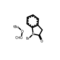 CC(C)(C)OC=O.O=C1Cc2ccccc2N1Br